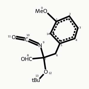 COc1cccc(CC(C=O)(N=C=O)OC(C)(C)C)c1